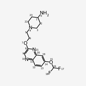 NC1CCN(CCOc2cnc3ccc(OC(F)F)cc3n2)CC1